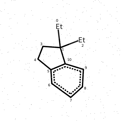 CCC1(CC)CCc2ccccc21